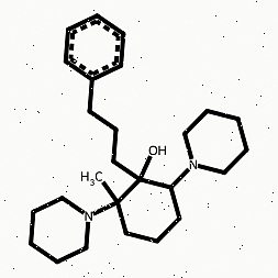 CC1(N2CCCCC2)CCCC(N2CCCCC2)C1(O)CCCc1ccccc1